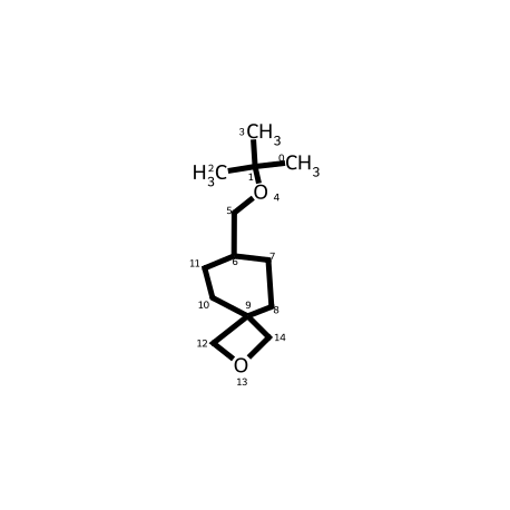 CC(C)(C)OCC1CCC2(CC1)COC2